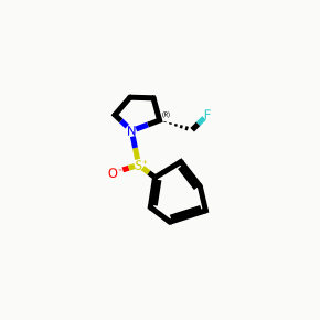 [O-][S+](c1ccccc1)N1CCC[C@@H]1CF